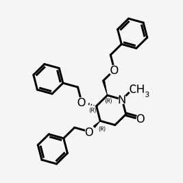 CN1C(=O)C[C@@H](OCc2ccccc2)[C@H](OCc2ccccc2)[C@H]1COCc1ccccc1